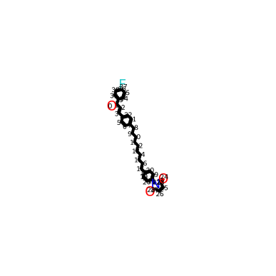 O=C(/C=C/c1ccc(CCCCCCCCCCc2ccc(N3C(=O)C=CC3=O)cc2)cc1)c1ccc(F)cc1